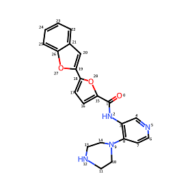 O=C(Nc1cnccc1N1CCNCC1)c1ccc(-c2cc3ccccc3o2)o1